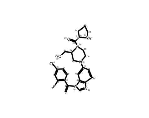 C=C(c1ccc(Cl)cc1F)n1cnc2ccc(N3CCN(C(=O)[C@H]4CCCN4)C(CO)C3)cc21